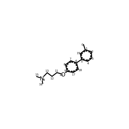 Cc1cccc(-c2ccc(OCCCN(C)C)cc2)c1